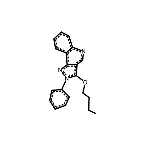 CCCCOc1c2cnc3ccccc3c2nn1-c1ccccc1